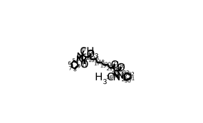 CC1=NN(c2ccccc2)C(=O)C1C(=O)CCCCCCCC(=O)C1C(=O)N(c2ccccc2)N=C1C